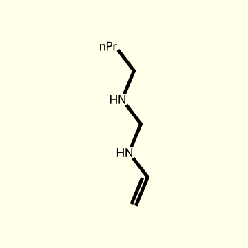 C=CNCNCCCC